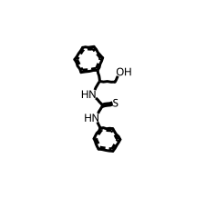 OCC(NC(=S)Nc1ccccc1)c1ccccc1